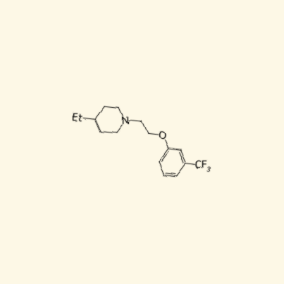 CCC1CCN(CCOc2cccc(C(F)(F)F)c2)CC1